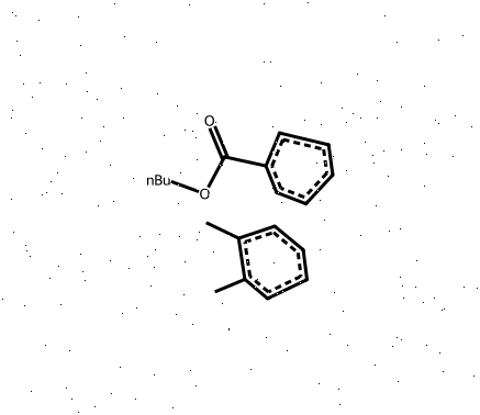 CCCCOC(=O)c1ccccc1.Cc1ccccc1C